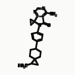 Nc1ncnc2c1C(=O)N(c1ccc(C3CCC4(CC3)CC4C(=O)O)cc1)C21CC1